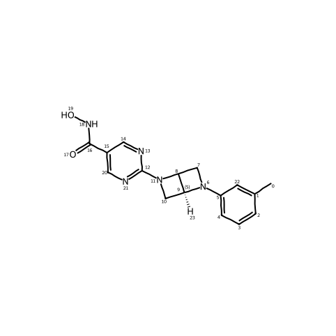 Cc1cccc(N2CC3[C@@H]2CN3c2ncc(C(=O)NO)cn2)c1